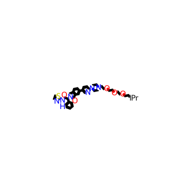 CC(C)CCOCCOCCOCCN1CCN(c2ccc(-c3ccc4c(c3)C(=O)N(C(C(=O)Nc3nccs3)c3ccccc3)C4)cn2)CC1